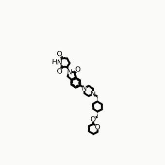 O=C1CCC(N2Cc3ccc(N4CCN(C[C@H]5CC[C@@H](COC6CCCCO6)CC5)CC4)cc3C2=O)C(=O)N1